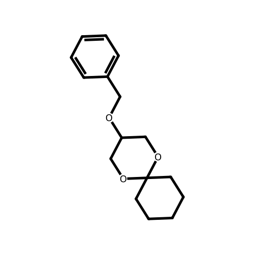 c1ccc(COC2COC3(CCCCC3)OC2)cc1